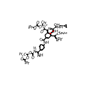 C=CC(/C=C(\Cc1ccc(C(O)NCC2CC2)nc1C(=O)OC(C)OC(=O)OC(C)C)C(=O)Nc1ccc(C(=N)NC(=O)OC(C)OC(=O)C(C)C)cc1)C(OC)C(C)C